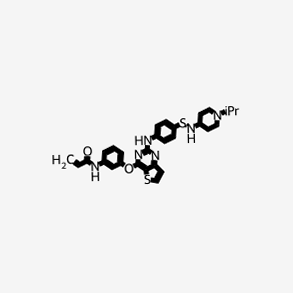 C=CC(=O)Nc1cccc(Oc2nc(Nc3ccc(SNC4CCN(C(C)C)CC4)cc3)nc3ccsc23)c1